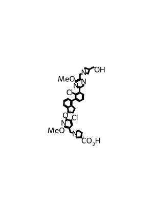 COc1nc(O[C@H]2CCc3c(-c4cccc(-c5cnc(CN6CC(CO)C6)c(OC)n5)c4Cl)cccc32)c(Cl)cc1CN1CC[C@H](C(=O)O)C1